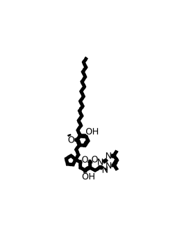 CCCCCCCCCCCCCCCCc1c(O)ccc(CCC2(C3CC(O)=C(Cc4nc5nc(C)cc(C)n5n4)C(=O)O3)CCCC2)c1OC